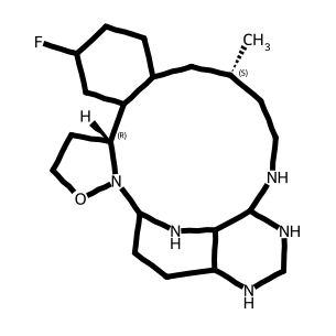 C[C@@H]1CCNC2NCNC3CCC(NC32)N2OCC[C@@H]2C2CC(F)CCC2C1